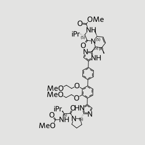 COCCOc1c(-c2ccc(-c3cnc([C@@H]4[C@H](C)C=C[C@H](C)N4C(=O)[C@@H](NC(=O)OC)C(C)C)[nH]3)cc2)ccc(-c2cnc([C@@H]3CCCN3C(=O)[C@@H](NC(=O)OC)C(C)C)[nH]2)c1OCCOC